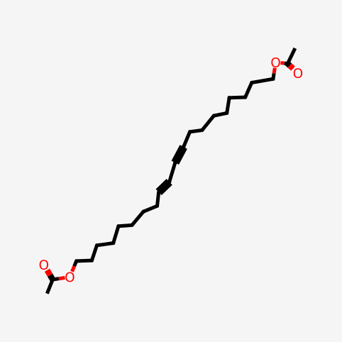 CC(=O)OCCCCCCCCC#CC#CCCCCCCCCOC(C)=O